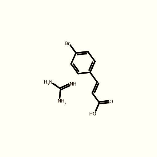 N=C(N)N.O=C(O)/C=C/c1ccc(Br)cc1